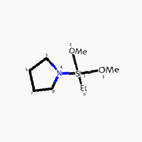 CC[Si](OC)(OC)N1CCCC1